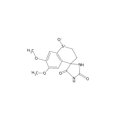 COc1cc2c(cc1OC)C1(CC[S+]2[O-])NC(=O)NC1=O